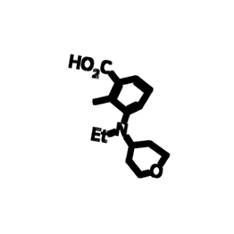 CCN(c1cccc(C(=O)O)c1C)C1CCOCC1